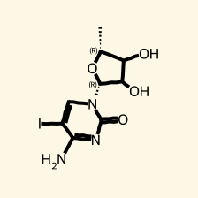 C[C@H]1O[C@@H](n2cc(I)c(N)nc2=O)C(O)C1O